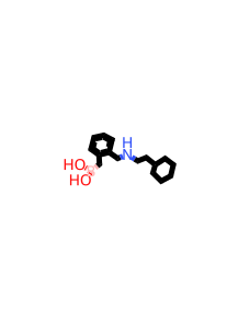 OB(O)Cc1ccccc1CNCCC1CCCCC1